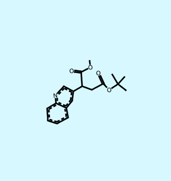 COC(=O)C(CC(=O)OC(C)(C)C)c1cnc2ccccc2c1